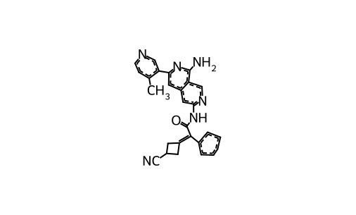 Cc1ccncc1-c1cc2cc(NC(=O)C(=C3CC(C#N)C3)c3ccccc3)ncc2c(N)n1